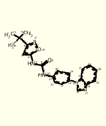 CC(C)(C)c1cc(NC(=O)Nc2ccc(-n3cnc4ccccc43)cc2)on1